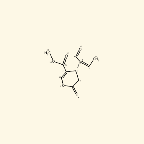 CC=C(C=O)[C@@H]1CC(=O)OC=C1C(=O)OC